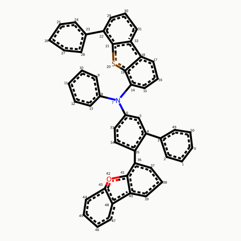 c1ccc(-c2cc(N(c3ccccc3)c3cccc4c3sc3c(-c5ccccc5)cccc34)ccc2-c2cccc3c2oc2ccccc23)cc1